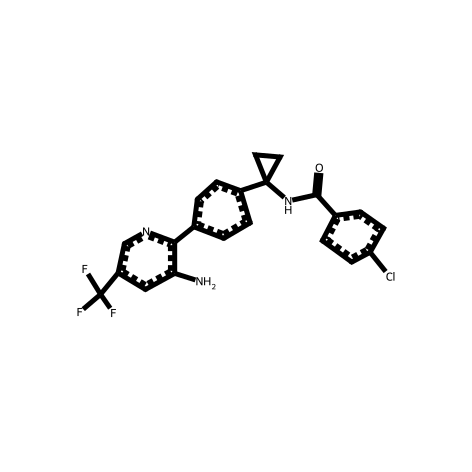 Nc1cc(C(F)(F)F)cnc1-c1ccc(C2(NC(=O)c3ccc(Cl)cc3)CC2)cc1